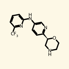 FC(F)(F)c1cccc(Nc2ccc([C@@H]3CNCCO3)nc2)n1